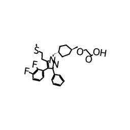 CSCCc1c(-c2cccc(F)c2F)c(-c2ccccc2)nn1C[C@H]1CC[C@H](COCC(=O)O)CC1